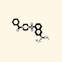 CN(C)c1ccc2c(S(=O)(=O)N3CCN(C(=O)C4CCCCC4)CC3)cccc2c1